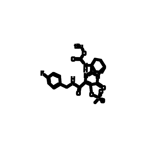 CC(C)(C)OC(=O)NC12CCC(CC1)Cn1c2nc(C(=O)NCc2ccc(F)cc2)c(OS(C)(=O)=O)c1=O